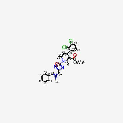 COC(=O)C1=C(C)N(c2nc(CN(C)Cc3ccccc3)no2)C(C)=CC1c1cccc(Cl)c1Cl